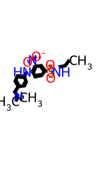 CCCCNS(=O)(=O)c1ccc(Nc2ccc(CN(C)C)cc2)c([N+](=O)[O-])c1